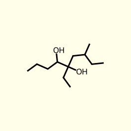 CCCC(O)C(O)(CC)CC(C)CC